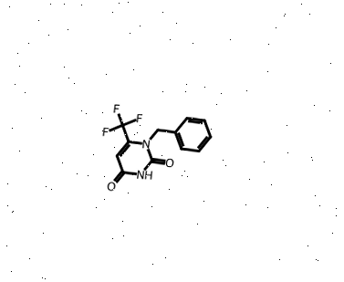 O=c1cc(C(F)(F)F)n(Cc2ccccc2)c(=O)[nH]1